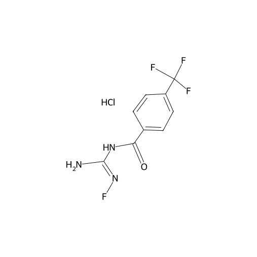 Cl.NC(=NF)NC(=O)c1ccc(C(F)(F)F)cc1